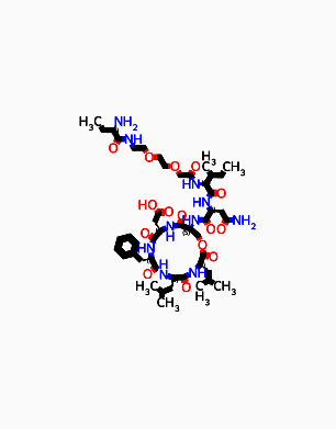 CCC(C)[C@H](NC(=O)COCCOCCNC(=O)[C@@H](N)CC)C(=O)N[C@@H](CC(N)=O)C(=O)N[C@H]1COC(=O)[C@H](CC(C)C)NC(=O)[C@H](CC(C)C)NC(=O)[C@H](Cc2ccccc2)NC(=O)[C@H](CC(=O)O)NC1=O